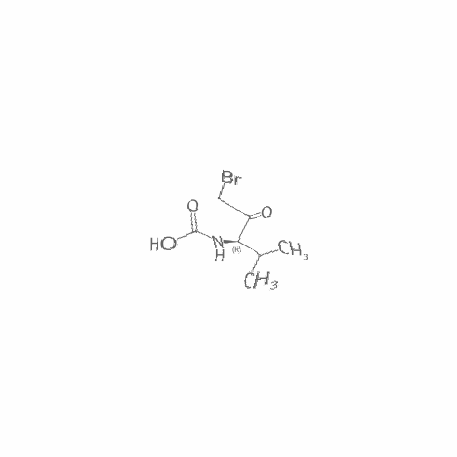 CC(C)[C@@H](NC(=O)O)C(=O)CBr